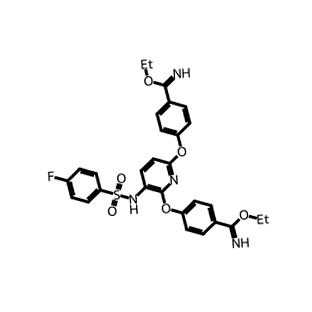 CCOC(=N)c1ccc(Oc2ccc(NS(=O)(=O)c3ccc(F)cc3)c(Oc3ccc(C(=N)OCC)cc3)n2)cc1